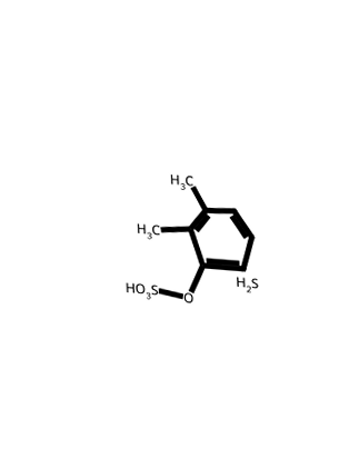 Cc1cccc(OS(=O)(=O)O)c1C.S